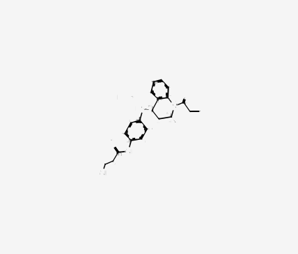 CCC(=O)N1c2ccccc2[C@H](Nc2ccc(NC(=O)CCN)cc2)C[C@@H]1C.Cl